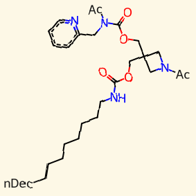 CCCCCCCCCCCCCCCCCCNC(=O)OCC1(COC(=O)N(Cc2ccccn2)C(C)=O)CN(C(C)=O)C1